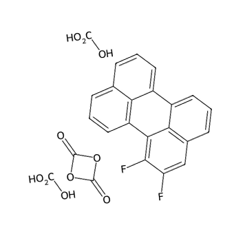 Fc1cc2cccc3c4cccc5cccc(c(c1F)c23)c54.O=C(O)O.O=C(O)O.O=C1OC(=O)O1